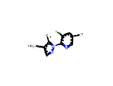 Cc1c(C(=O)O)cnn1-c1ncc(C(F)(F)F)cc1F